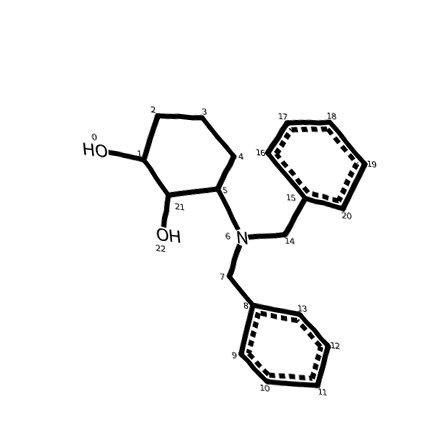 OC1CCCC(N(Cc2ccccc2)Cc2ccccc2)C1O